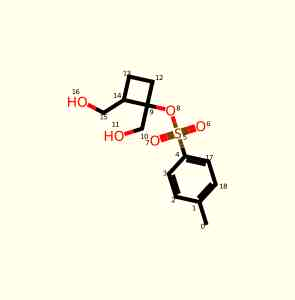 Cc1ccc(S(=O)(=O)OC2(CO)CCC2CO)cc1